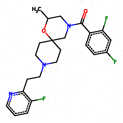 CC1CN(C(=O)c2ccc(F)cc2F)CC2(CCN(CCc3ncccc3F)CC2)O1